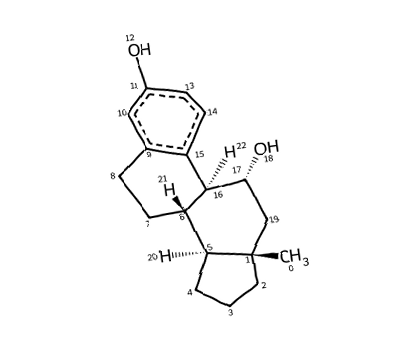 C[C@@]12CCC[C@H]1[C@@H]1CCc3cc(O)ccc3[C@H]1[C@H](O)C2